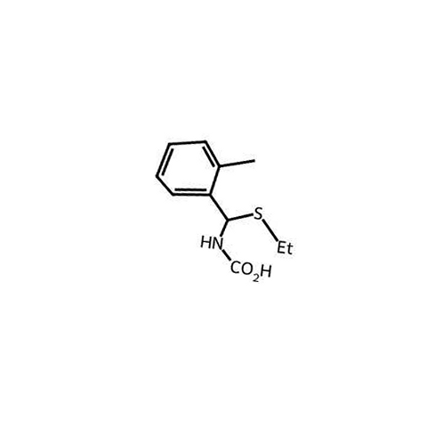 CCSC(NC(=O)O)c1ccccc1C